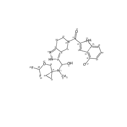 CN(C(O)c1[nH]nc2c1CN(C(=O)c1cc3c(Cl)cccc3[nH]1)CC2)C1(COC(F)F)CC1